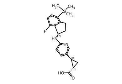 C[Si](C)(C)c1ccc(F)c2c1CC[C@H]2Nc1ccc([C@H]2C[C@@H]2C(=O)O)cn1